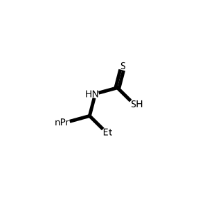 CCCC(CC)NC(=S)S